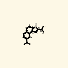 CC(C)c1ccc2ccc3[nH]c(C(C)C)cc3c2c1